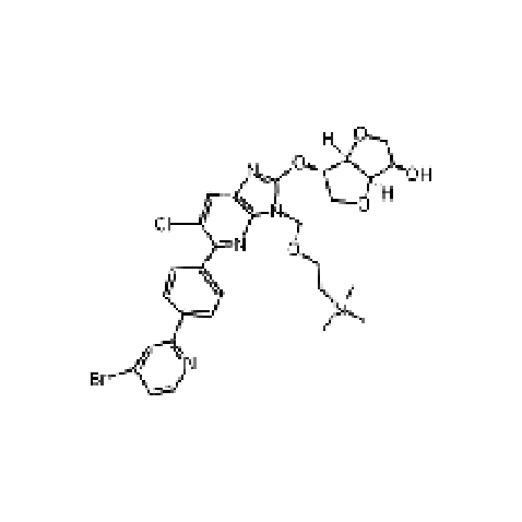 C[Si](C)(C)CCOCn1c(O[C@@H]2CO[C@H]3[C@@H]2OC[C@H]3O)nc2cc(Cl)c(-c3ccc(-c4cc(Br)ccn4)cc3)nc21